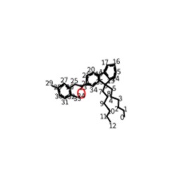 CCCCCCC1(CCCCCC)c2ccccc2-c2ccc(C(=O)Cc3cc(C)ccc3C)cc21